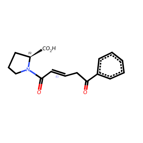 O=C(C/C=C/C(=O)N1CCC[C@H]1C(=O)O)c1ccccc1